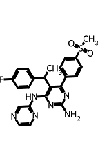 CC(c1ccc(F)cc1)c1c(Nc2cnccn2)nc(N)nc1-c1ccc(S(C)(=O)=O)cc1